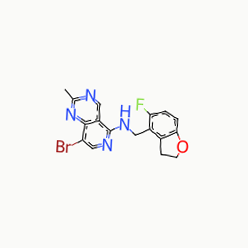 Cc1ncc2c(NCc3c(F)ccc4c3CCO4)ncc(Br)c2n1